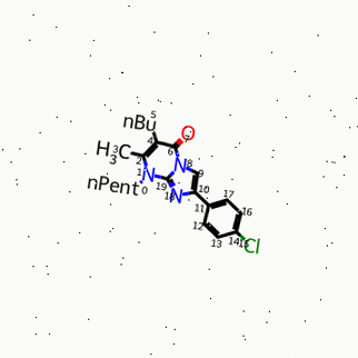 CCCCCn1c(C)c(CCCC)c(=O)n2cc(-c3ccc(Cl)cc3)nc12